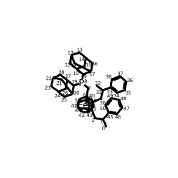 CC(C[C]12[CH]3[CH]4[C]5(CP(C6C7CC8CC(C7)CC6C8)C6C7CC8CC(C7)CC6C8)[C]1(CC(C)c1ccccc1)[Fe]34251678[CH]2[CH]1[CH]6[CH]7[CH]28)c1ccccc1